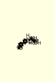 C[C@](N)(COP(=O)(O)O)C(=O)Nc1ccc(-c2ccc3c(c2)OCO3)cc1